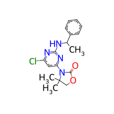 CC(Nc1nc(Cl)cc(N2C(=O)OCC2(C)C)n1)c1ccccc1